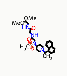 COC(CNC(=O)CNC(=O)CN(C1CCN(C(C)c2cccc3ccccc23)CC1)S(C)(=O)=O)OC